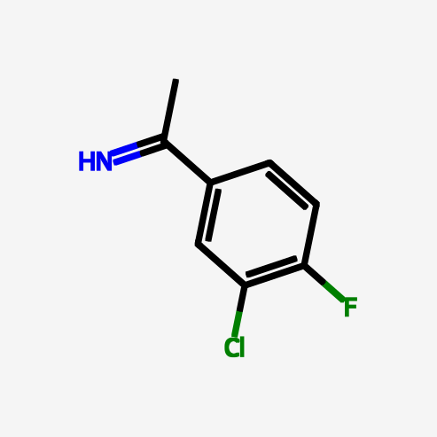 CC(=N)c1ccc(F)c(Cl)c1